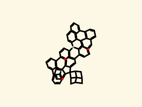 c1ccc(-c2cccc3cccc(-c4ccccc4N(c4ccc(-c5cccc6c5oc5ccccc56)cc4)c4ccccc4-c4ccc5c(c4)C4(c6ccccc6-5)C5CC6CC7CC4C675)c23)cc1